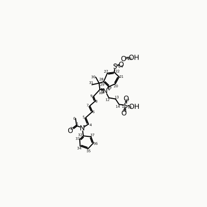 CC(=O)N(/C=C/C=C/C=C/C1=[N+](CCCS(=O)(=O)O)c2ccc(SOOO)cc2C1(C)C)c1ccccc1